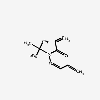 C=C/C=N\N(C(=O)C=C)C(C)(CCC)CCCC